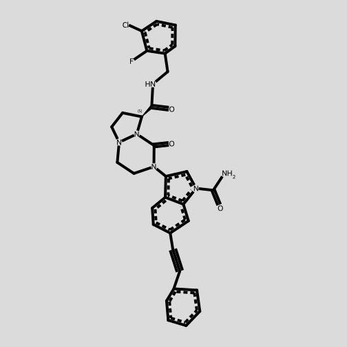 NC(=O)n1cc(N2CCN3CC[C@@H](C(=O)NCc4cccc(Cl)c4F)N3C2=O)c2ccc(C#Cc3ccccc3)cc21